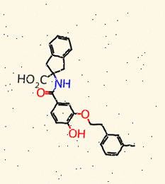 Cc1cccc(CCOc2cc(C(=O)NC3(C(=O)O)Cc4ccccc4C3)ccc2O)c1